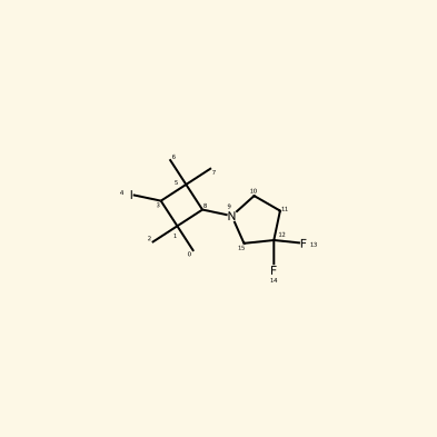 CC1(C)C(I)C(C)(C)C1N1CCC(F)(F)C1